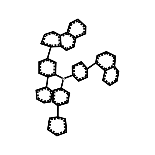 c1ccc(-c2ccc(N(c3ccc(-c4cccc5ccccc45)cc3)c3cc(-c4cccc5c4ccc4ccccc45)ccc3-c3ccccc3)cc2)cc1